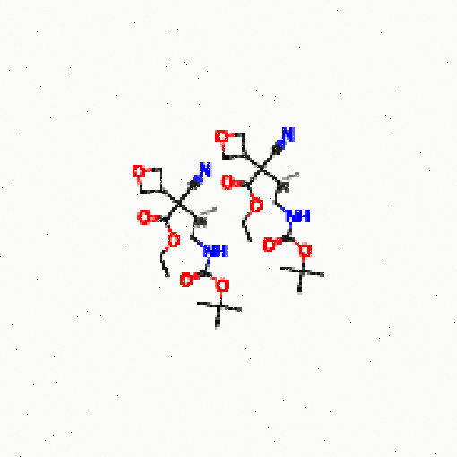 CCOC(=O)C(C#N)(C1COC1)[C@H](C)CNC(=O)OC(C)(C)C.CCOC(=O)C(C#N)(C1COC1)[C@H](C)CNC(=O)OC(C)(C)C